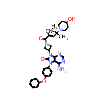 CC(C)(C=C(C#N)C(=O)N1CC(n2c(=O)n(-c3ccc(Oc4ccccc4)cc3)c3c(N)ncnc32)C1)N1CCC(O)CC1